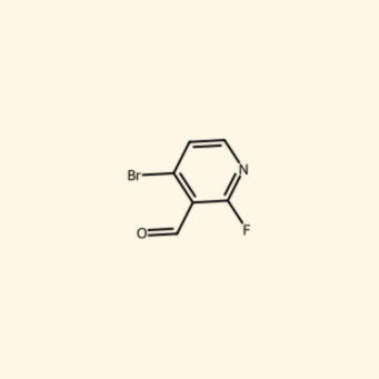 O=Cc1c(Br)ccnc1F